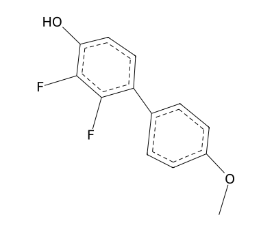 COc1ccc(-c2ccc(O)c(F)c2F)cc1